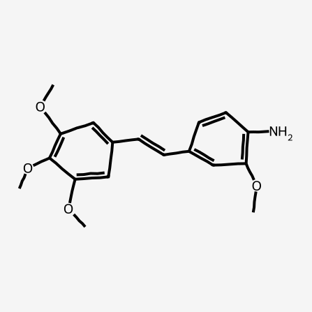 COc1cc(C=Cc2cc(OC)c(OC)c(OC)c2)ccc1N